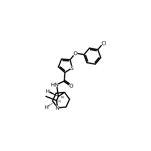 C[C@H]1[C@H](NC(=O)c2ccc(Oc3cccc(Cl)c3)s2)C2CCN1CC2